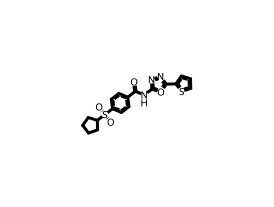 O=C(Nc1nnc(-c2cccs2)o1)c1ccc(S(=O)(=O)C2CCCC2)cc1